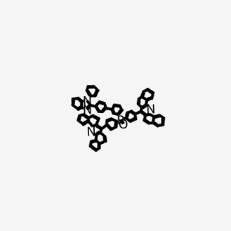 O=P(c1ccc(-c2c3ccc4ccccc4c3nc3c2ccc2ccccc23)cc1)(c1ccc(-c2c3ccc4ccccc4c3nc3c2ccc2ccccc23)cc1)c1cccc(-c2ccc(-c3nc4ccccc4n3-c3ccccc3)cc2)c1